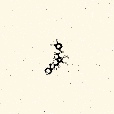 C#CC1(NC(=O)C(=O)c2c(C)c(C(=O)Nc3ccc(F)c(C#N)c3)n(C)c2C)CCOCC1